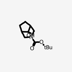 CC(C)(C)OC(=O)N1CC2CCC(C1)C2(C)O